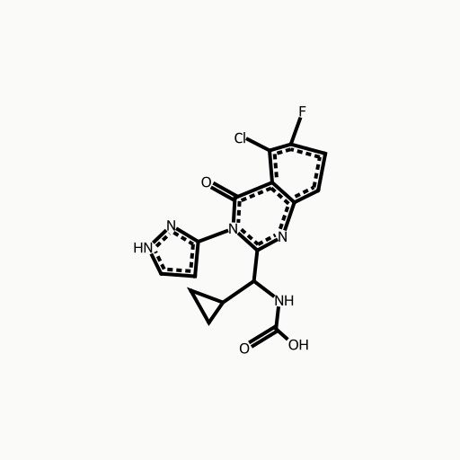 O=C(O)NC(c1nc2ccc(F)c(Cl)c2c(=O)n1-c1cc[nH]n1)C1CC1